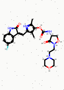 Cc1[nH]c(/C=C2\C(=O)Nc3ccc(F)cc32)c(C)c1OC(=O)N[C@@H]1CON(CCN2CCOCC2)C1=O